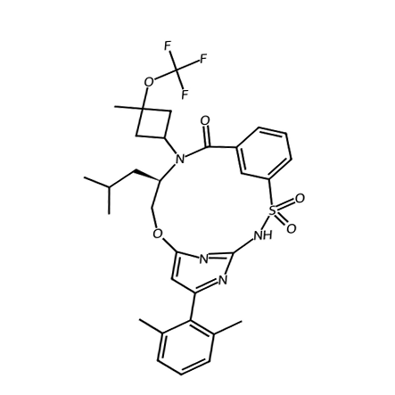 Cc1cccc(C)c1-c1cc2nc(n1)NS(=O)(=O)c1cccc(c1)C(=O)N(C1CC(C)(OC(F)(F)F)C1)[C@H](CC(C)C)CO2